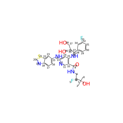 CC(C)(O)[C@H](F)CNC(=O)c1cnc(Nc2ccc3ncsc3c2)cc1N[C@@H](c1cccc(F)c1)[C@H](O)CO